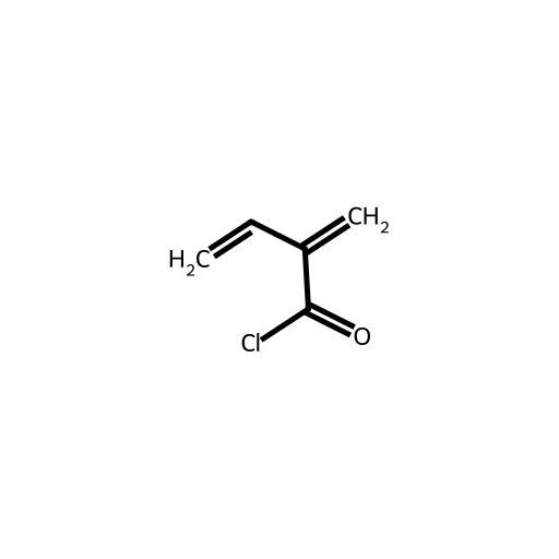 C=CC(=C)C(=O)Cl